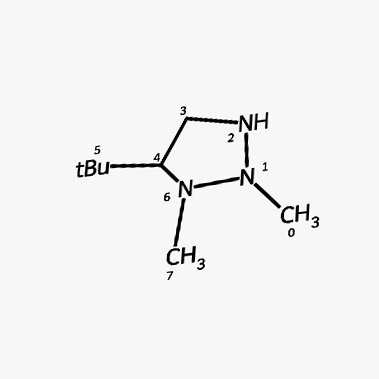 CN1NCC(C(C)(C)C)N1C